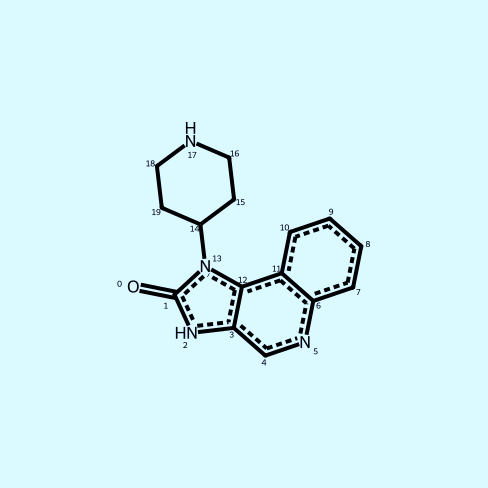 O=c1[nH]c2cnc3ccccc3c2n1C1CCNCC1